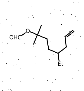 C=CCC(CC)CCC(C)(C)OC=O